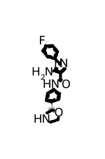 Nc1c(C(=O)Nc2ccc([C@H]3CNCCO3)cc2)cnn1-c1ccc(F)cc1